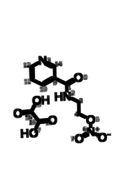 O=C(NCCO[N+](=O)[O-])c1cccnc1.O=C(O)C(=O)O